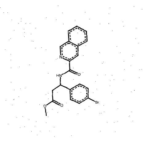 COC(=O)CC(NC(=O)c1cc2ccccc2cn1)c1ccc(Br)cc1